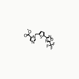 COC(=O)c1cncn1Cc1ccc(-c2noc(C(F)(F)F)n2)s1